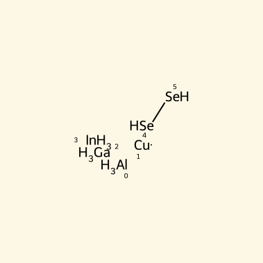 [AlH3].[Cu].[GaH3].[InH3].[SeH][SeH]